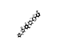 C[C@H](NC(=O)c1ccc[n+]([O-])c1)C(=O)N1CCN(c2c(F)cc(N3C[C@H](Cn4ccnn4)OC3=O)cc2F)CC1